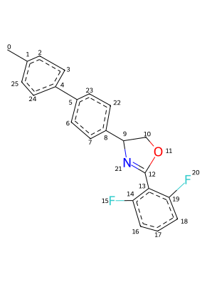 Cc1ccc(-c2ccc(C3COC(c4c(F)cccc4F)=N3)cc2)cc1